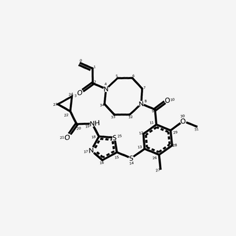 C=CC(=O)N1CCCN(C(=O)c2cc(Sc3cnc(NC(=O)C4CC4)s3)c(C)cc2OC)CCC1